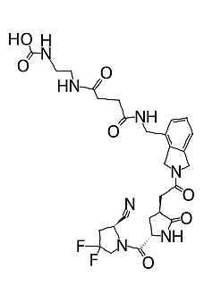 N#C[C@@H]1CC(F)(F)CN1C(=O)[C@@H]1C[C@@H](CC(=O)N2Cc3cccc(CNC(=O)CCC(=O)NCCNC(=O)O)c3C2)C(=O)N1